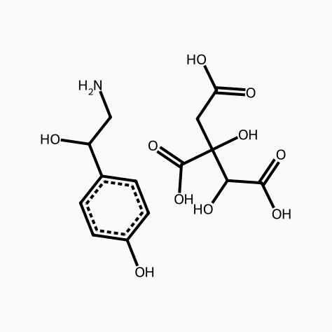 NCC(O)c1ccc(O)cc1.O=C(O)CC(O)(C(=O)O)C(O)C(=O)O